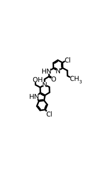 CCCc1nc(NC(=O)CN2CCc3c([nH]c4ccc(Cl)cc34)C2CO)ccc1Cl